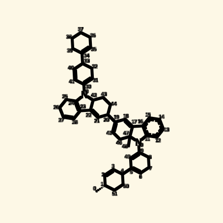 C[C@@H]1C=CC(C2=CCCC(N3c4ccccc4C4=CC(C5C=C6C7=C(CCC=C7)N(C7=CCC(C8=CCCCC8)C=C7)C6CC5)=CCC43C)=C2)CC1